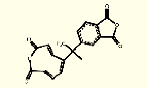 CC(C1=C/C=C/C(=O)OC(=O)\C=C\1)(c1ccc2c(c1)C(=O)OC2=O)C(F)(F)F